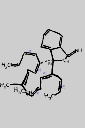 C=C/C=C\C(=C/C=C(C)C)[C@@]1(C(/C=C\C)=C/C=C\C)NC(=N)c2ccccc21